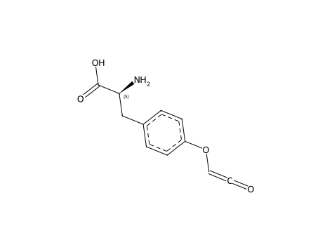 N[C@@H](Cc1ccc(OC=C=O)cc1)C(=O)O